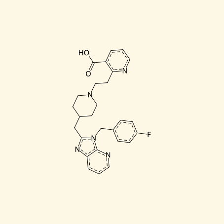 O=C(O)c1cccnc1CCN1CCC(Cc2nc3cccnc3n2Cc2ccc(F)cc2)CC1